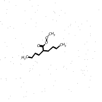 CCCCC(CCCC)C(=O)OOC